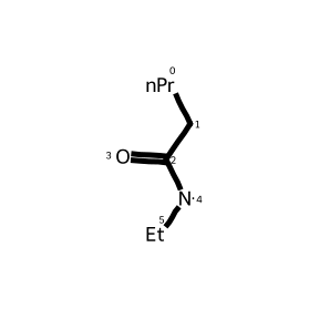 CCCCC(=O)[N]CC